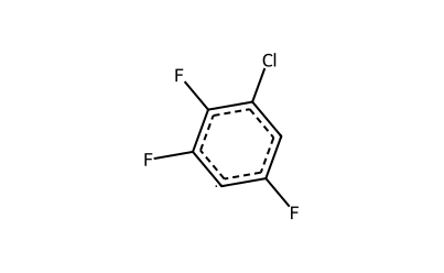 Fc1[c]c(F)c(F)c(Cl)c1